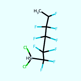 CC(F)C(F)(F)C(F)(F)C(F)(F)C(F)(F)[SiH](Cl)Cl